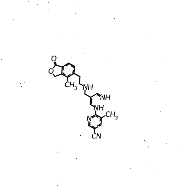 Cc1cc(C#N)cnc1N/C=C(\C=N)CNCCc1ccc2c(c1C)COC2=O